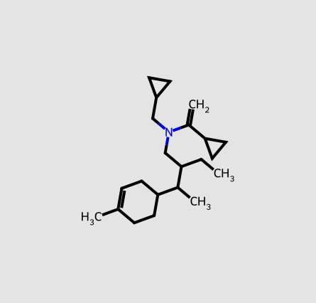 C=C(C1CC1)N(CC1CC1)CC(CC)C(C)C1CC=C(C)CC1